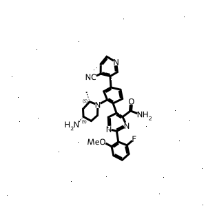 COc1cccc(F)c1-c1ncc(-c2ccc(-c3cnccc3C#N)cc2N2CC[C@H](N)C[C@@H]2C)c(C(N)=O)n1